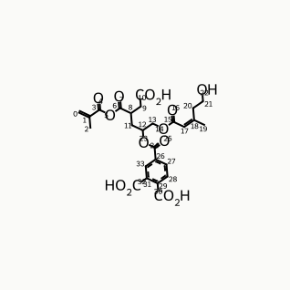 C=C(C)C(=O)OC(=O)C(CC(=O)O)CC(COC(=O)C=C(C)CCO)OC(=O)c1ccc(C(=O)O)c(C(=O)O)c1